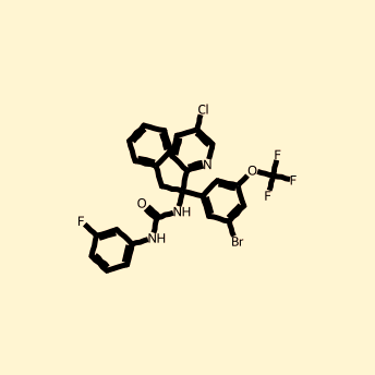 O=C(Nc1cccc(F)c1)NC(Cc1ccccc1)(c1cc(Br)cc(OC(F)(F)F)c1)c1ccc(Cl)cn1